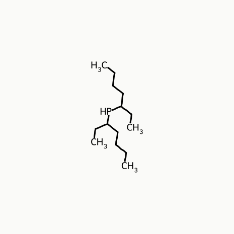 CCCCC(CC)PC(CC)CCCC